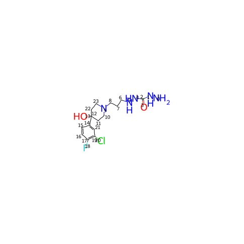 NNC(=O)NNCCCN1CCC(O)(c2ccc(F)c(Cl)c2)CC1